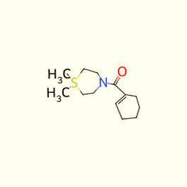 CS1(C)CCN(C(=O)C2=CCCCC2)CC1